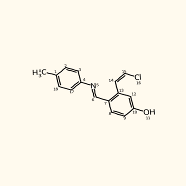 Cc1ccc(/N=C/c2ccc(O)cc2/C=C\Cl)cc1